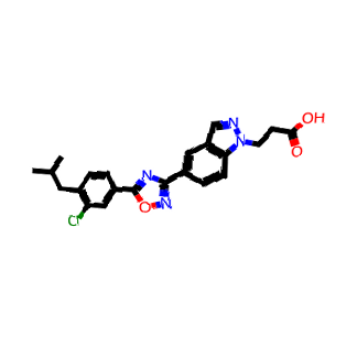 CC(C)Cc1ccc(-c2nc(-c3ccc4c(cnn4CCC(=O)O)c3)no2)cc1Cl